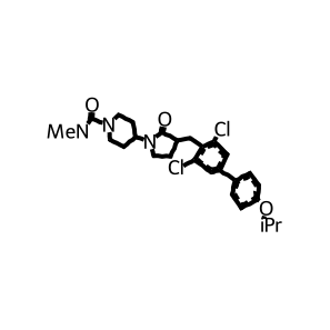 CNC(=O)N1CCC(N2CCC(Cc3c(Cl)cc(-c4ccc(OC(C)C)cc4)cc3Cl)C2=O)CC1